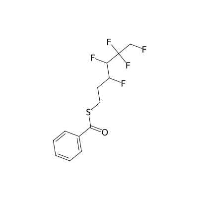 O=C(SCCC(F)C(F)C(F)(F)CF)c1ccccc1